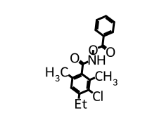 CCc1cc(C)c(C(=O)NOC(=O)c2ccccc2)c(C)c1Cl